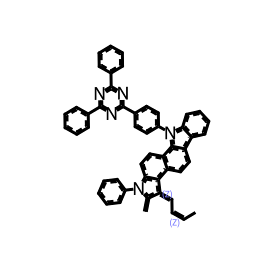 C=c1/c(=C\C=C/C)c2c3ccc4c5ccccc5n(-c5ccc(-c6nc(-c7ccccc7)nc(-c7ccccc7)n6)cc5)c4c3ccc2n1-c1ccccc1